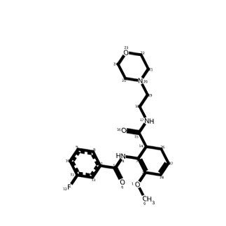 COC1=C(NC(=O)c2cccc(F)c2)C(C(=O)NCCN2CCOCC2)CC=C1